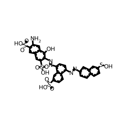 Nc1cc2c(O)c(N=Nc3ccc(N=Nc4ccc5ccc(SO)cc5c4)c4ccc(S(=O)(=O)O)cc34)c(S(=O)(=O)O)cc2cc1S(=O)(=O)O